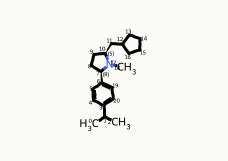 CC(C)c1ccc([C@H]2CC[C@@H](CC3CCCC3)N2C)cc1